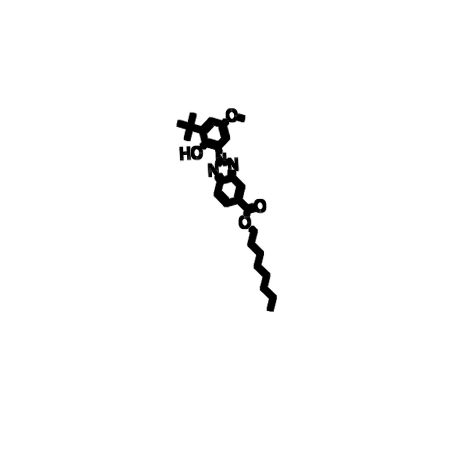 CCCCCCCCOC(=O)c1ccc2nn(-c3cc(OC)cc(C(C)(C)C)c3O)nc2c1